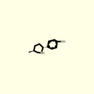 C[C@H]1CC[C@H](c2ccc(O)cc2)NC1